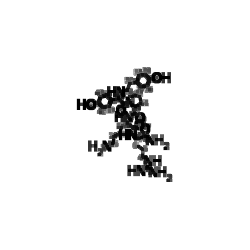 N=C(N)NCCC[C@H](NC(=O)[C@H](CCCCN)NC(=O)[C@@H]1CCCN1C(=O)[C@@H](NCCc1ccc(O)cc1)c1ccc(O)cc1)C(N)=O